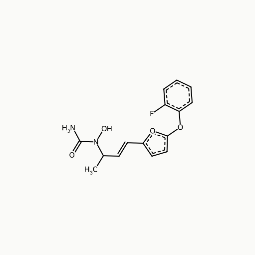 CC(/C=C/c1ccc(Oc2ccccc2F)o1)N(O)C(N)=O